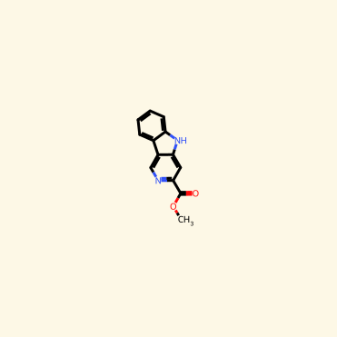 COC(=O)c1cc2[nH]c3ccccc3c2cn1